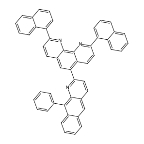 c1ccc(-c2c3ccccc3cc3ccc(-c4cc5ccc(-c6cccc7ccccc67)nc5c5nc(-c6cccc7ccccc67)ccc45)nc23)cc1